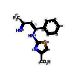 N=C(/C=C(\Nc1nc(C(=O)O)cs1)c1ccccc1)C(F)(F)F